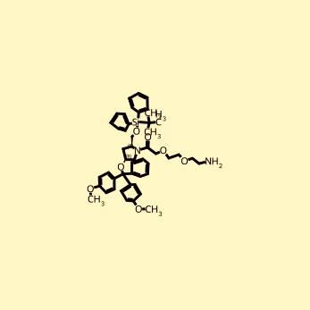 COc1ccc(C(O[C@@H]2C[C@@H](CO[Si](c3ccccc3)(c3ccccc3)C(C)(C)C)N(C(=O)COCCOCCN)C2)(c2ccccc2)c2ccc(OC)cc2)cc1